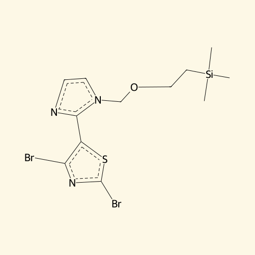 C[Si](C)(C)CCOCn1ccnc1-c1sc(Br)nc1Br